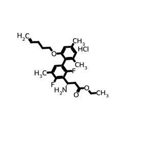 C=CCCCOc1cc(C)cc(C)c1-c1cc(C)c(F)c([C@@H](N)CC(=O)OCC)c1F.Cl